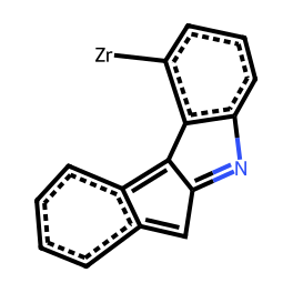 [Zr][c]1cccc2c1C1=c3ccccc3=CC1=N2